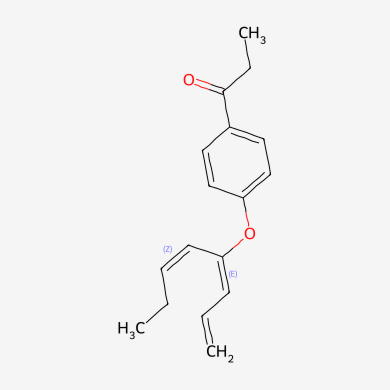 C=C/C=C(\C=C/CC)Oc1ccc(C(=O)CC)cc1